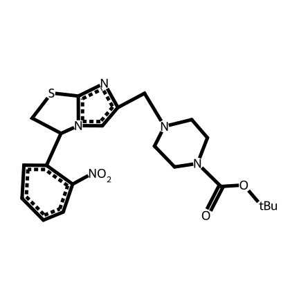 CC(C)(C)OC(=O)N1CCN(Cc2cn3c(n2)SCC3c2ccccc2[N+](=O)[O-])CC1